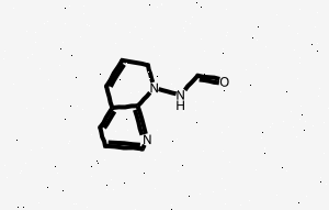 O=CNN1CC=Cc2cccnc21